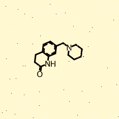 O=C1CCc2ccc(CN3CC[CH]CC3)cc2N1